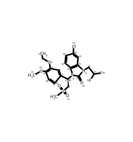 CCOc1cc([C@H](CS(C)(=O)=O)n2c(=O)n(CC(F)F)c3cc(Cl)ccc32)ccc1OC